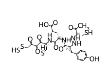 CC(=O)[C@H](CS)NN[C@@H](Cc1ccc(O)cc1)C(=O)N[C@@H](CCC(=O)O)C(=O)N[C@@H](CS)C(=O)C(=O)C(=O)CSS